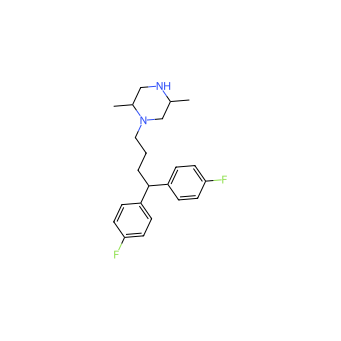 CC1CN(CCCC(c2ccc(F)cc2)c2ccc(F)cc2)C(C)CN1